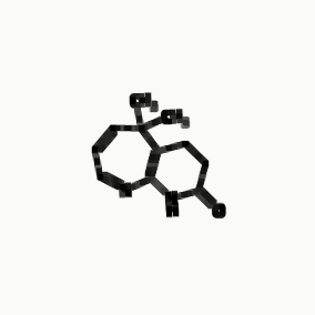 CC1(C)C=CC=NC2=C1CCC(=O)N2